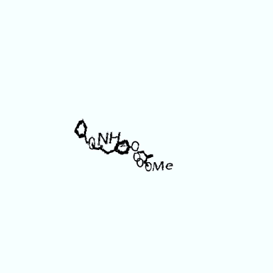 C=C(CC(=O)Oc1ccc(CC(N)COCc2ccccc2)cc1)C(=O)OC